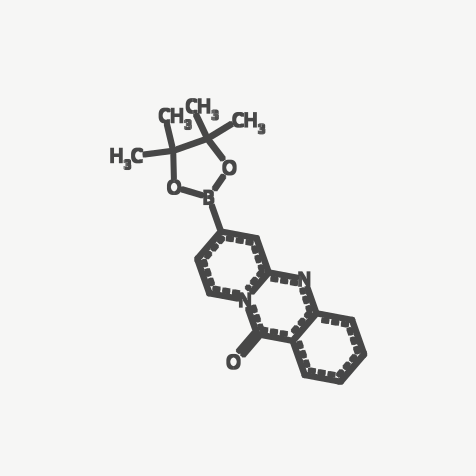 CC1(C)OB(c2ccn3c(=O)c4ccccc4nc3c2)OC1(C)C